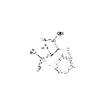 O=C(O)C1Cc2ccc(cc2)CC1(O)C(=O)O